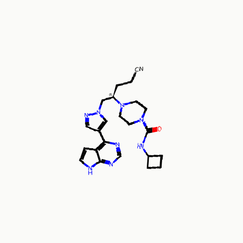 N#CCC[C@H](Cn1cc(-c2ncnc3[nH]ccc23)cn1)N1CCN(C(=O)NC2CCC2)CC1